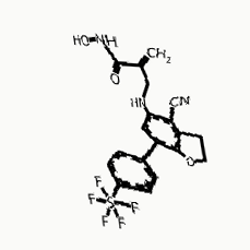 C=C(CNc1cc(-c2ccc(S(F)(F)(F)(F)F)cc2)c2c(c1C#N)CCO2)C(=O)NO